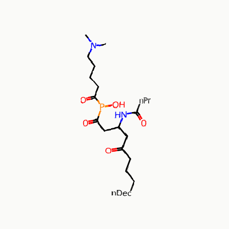 CCCCCCCCCCCCCC(=O)CC(CC(=O)P(O)C(=O)CCCCN(C)C)NC(=O)CCC